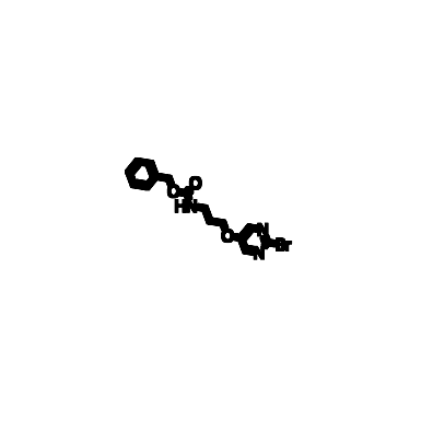 O=C(NCCCOc1cnc(Br)nc1)OCc1ccccc1